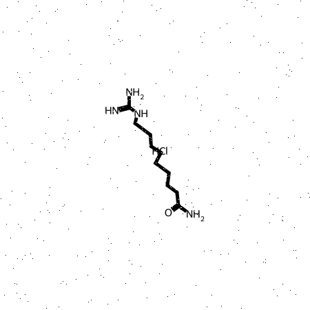 Cl.N=C(N)NCCCCCCCCC(N)=O